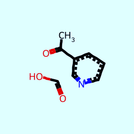 CC(=O)c1cccnc1.O=CO